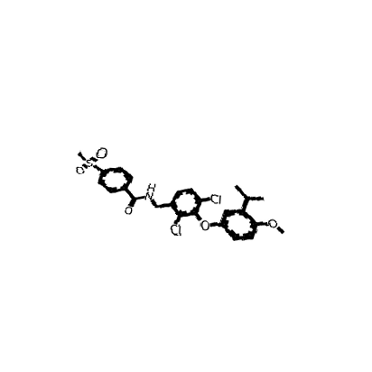 COc1ccc(Oc2c(Cl)ccc(CNC(=O)c3ccc(S(C)(=O)=O)cc3)c2Cl)cc1C(C)C